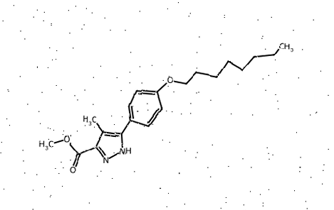 CCCCCCCCOc1ccc(-c2[nH]nc(C(=O)OC)c2C)cc1